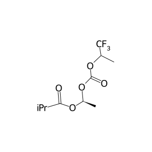 CC(C)C(=O)O[C@H](C)OC(=O)OC(C)C(F)(F)F